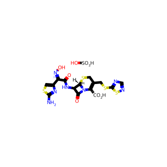 Nc1nc(/C(=N/O)C(=O)NC2C(=O)N3C(C(=O)O)=C(CSc4ncns4)CS[C@H]23)cs1.O=S(=O)(O)O